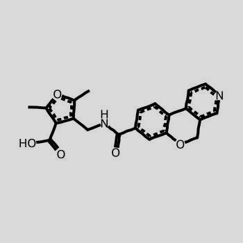 Cc1oc(C)c(C(=O)O)c1CNC(=O)c1ccc2c(c1)OCc1cnccc1-2